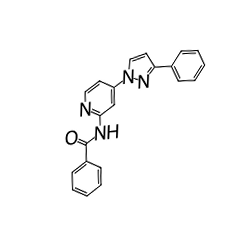 O=C(Nc1cc(-n2ccc(-c3ccccc3)n2)ccn1)c1ccccc1